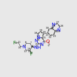 COc1nc(N[C@@H]2CCN(CCF)C[C@@H]2F)nn2ccc(-c3ccc4nccnc4c3)c12